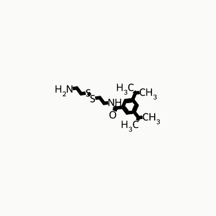 CC(C)c1cc(C(=O)NCCSSCCN)cc(C(C)C)c1